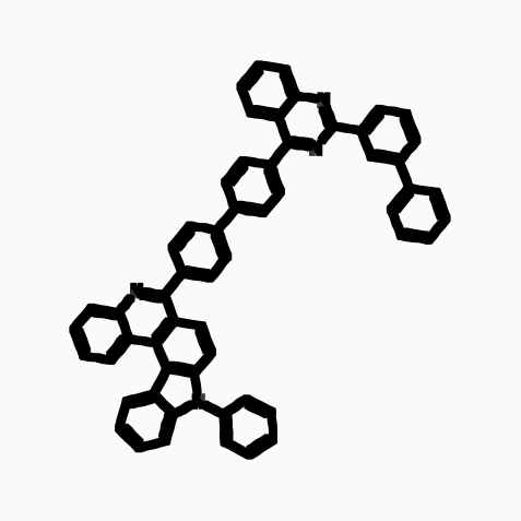 c1ccc(-c2cccc(-c3nc(-c4ccc(-c5ccc(-c6nc7ccccc7c7c6ccc6c7c7ccccc7n6-c6ccccc6)cc5)cc4)c4ccccc4n3)c2)cc1